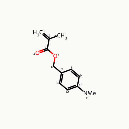 C=C(C)C(=O)OCc1ccc(NC)cc1